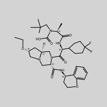 CCO[C@@H]1C[C@H]2CN(C(=O)[C@@H](NC(=O)[C@H](C)N(CC(C)(C)C)C(=O)O)C3CCC(F)(F)CC3)[C@H](C(=O)N[C@@H]3CCOc4ccccc43)CN2C1